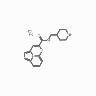 Cl.Cl.O=C(NCC1CCNCC1)C1=Cc2cnc3cccc(n23)S1